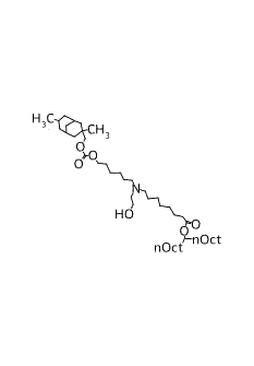 CCCCCCCCC(CCCCCCCC)OC(=O)CCCCCCCN(CCO)CCCCCCOC(=O)OCC1(C)CC2CC(C)CC(C2)C1